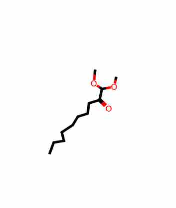 CCCCCCCCC(=O)C(OC)OC